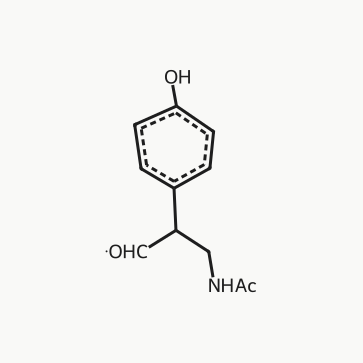 CC(=O)NCC([C]=O)c1ccc(O)cc1